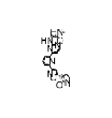 CNC(=O)[C@H](C)Nc1nccc(-c2cccc(-c3cc([C@@H]4CCN(C)C4=O)on3)n2)n1